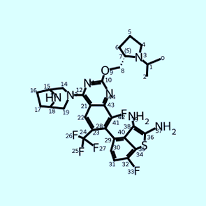 CC(C)N1CCC[C@H]1COc1nc(N2CC3CCC(C2)N3)c2cc(C(F)(F)F)c(-c3ccc(F)c4sc(N)c(N)c34)c(F)c2n1